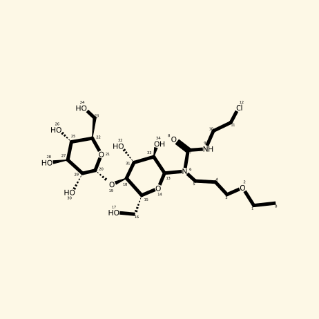 CCOCCCN(C(=O)NCCCl)C1O[C@H](CO)[C@@H](O[C@H]2O[C@H](CO)[C@@H](O)[C@H](O)[C@H]2O)[C@H](O)[C@H]1O